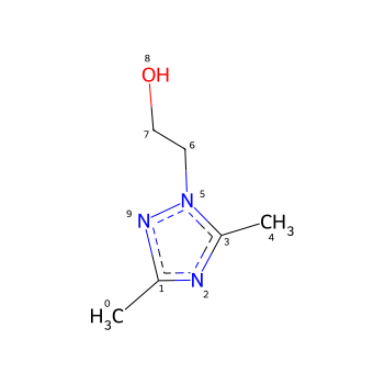 Cc1nc(C)n(CCO)n1